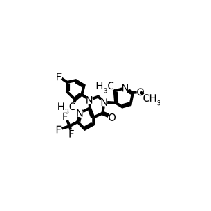 COc1ccc(N2CN(c3ccc(F)cc3C)c3nc(C(F)(F)F)ccc3C2=O)c(C)n1